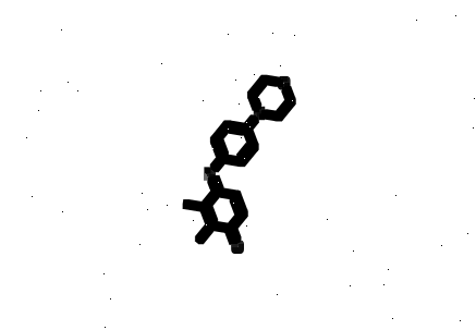 CC1=C(C)C(=Nc2ccc(N3CCOCC3)cc2)C=CC1=O